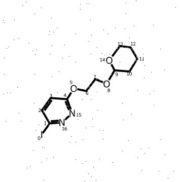 Ic1ccc(OCCOC2CCCCO2)nn1